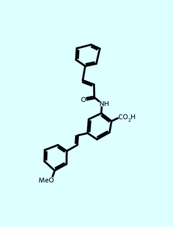 COc1cccc(/C=C/c2ccc(C(=O)O)c(NC(=O)C=Cc3ccccc3)c2)c1